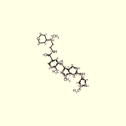 Cc1ncc(C(=O)NCCN(C)C2CCOCC2)cc1Nc1nn(C)c2nc(Nc3cnn(C)c3)ncc12